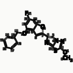 COc1nn2cc(-c3cc4c(OCc5ccccc5)cc(F)cc4o3)nc2s1